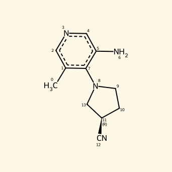 Cc1cncc(N)c1N1CC[C@@H](C#N)C1